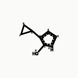 Oc1[nH]ccc1C1CC1